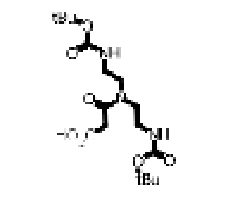 CC(C)(C)OC(=O)NCCN(CCNC(=O)OC(C)(C)C)C(=O)CC(=O)O